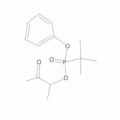 CC(=O)C(C)OP(=O)(Oc1ccccc1)C(C)(C)C